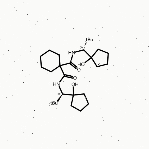 CC(C)(C)[C@@H](NC(=O)C1(C(=O)N[C@H](C(C)(C)C)C2(O)CCCC2)CCCCC1)C1(O)CCCC1